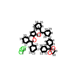 [Cl-].[Cl-].[Cl-].[Ti+3][C]1=CC=C(OC(c2ccccc2)c2ccccc2)[C@H]1OC(c1ccccc1)c1ccccc1.c1ccc(C2(c3ccccc3)OCCO2)cc1